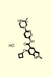 C[C@H]1CN(c2ccc(NC(=O)c3cc4cn(C)nc4cc3OC3CCC3)nn2)CCN1.Cl